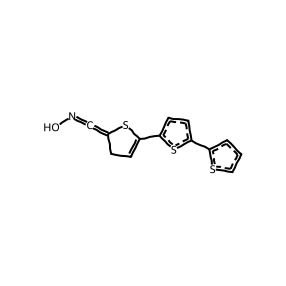 ON=C=C1CC=C(c2ccc(-c3cccs3)s2)S1